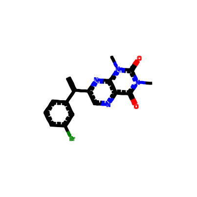 C=C(c1cccc(Br)c1)c1cnc2c(=O)n(C)c(=O)n(C)c2n1